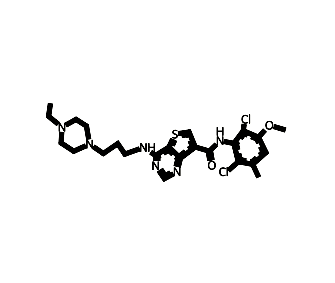 CCN1CCN(CCCNc2ncnc3c(C(=O)Nc4c(Cl)c(C)cc(OC)c4Cl)csc23)CC1